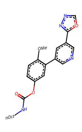 CCCCCCCCNC(=O)Oc1ccc(OC)c(-c2cncc(-c3nnco3)c2)c1